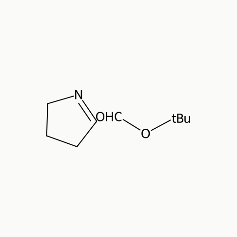 C1=NCCC1.CC(C)(C)OC=O